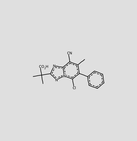 Cc1c(-c2ccccc2)c(Cl)n2nc(C(C)(C)C(=O)O)nc2c1C#N